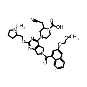 COCOc1cc(C(=O)N2Cc3nc(OCC4CCCN4C)nc(N4CCN(C(=O)O)C(CC#N)C4)c3C2)c2ccccc2c1